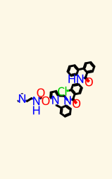 CN(C)CCNC(=O)Oc1ccc2n1Cc1ccccc1N(C(=O)c1ccc(NC(=O)c3ccccc3-c3ccccc3)cc1Cl)C2